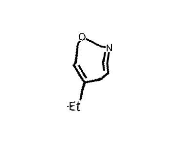 C[CH]c1cnoc1